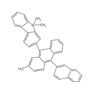 Cc1ccc2c(-c3ccc4ccccc4c3)c3ccccc3c(-c3ccc4c(c3)[Si](C)(C)c3ccccc3-4)c2c1